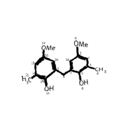 COc1cc(C)c(O)c(Cc2cc(OC)cc(C)c2O)c1